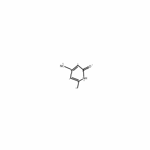 Cc1cc(C#N)cc(=O)[nH]1